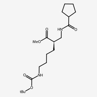 COC(=O)[C@H](CCCCNC(=O)OC(C)(C)C)CNC(=O)C1CCCC1